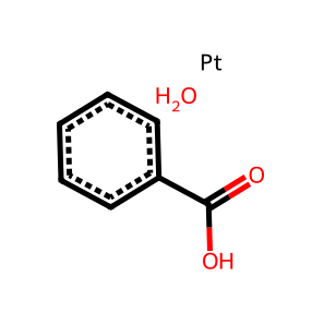 O.O=C(O)c1ccccc1.[Pt]